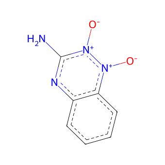 Nc1nc2ccccc2[n+]([O-])[n+]1[O-]